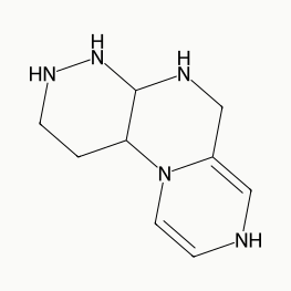 C1=CN2C(=CN1)CNC1NNCCC12